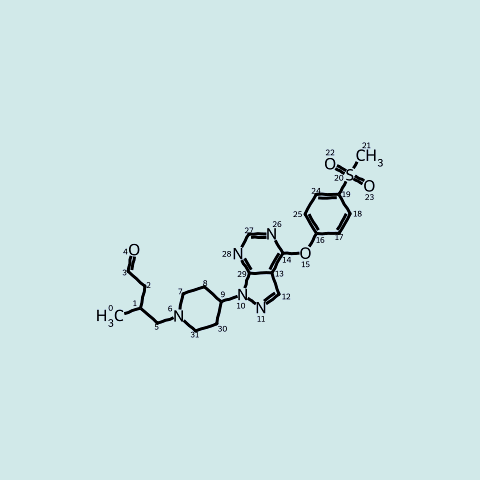 CC(CC=O)CN1CCC(n2ncc3c(Oc4ccc(S(C)(=O)=O)cc4)ncnc32)CC1